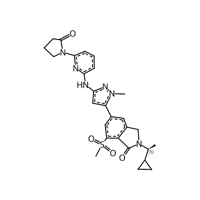 C[C@@H](C1CC1)N1Cc2cc(-c3cc(Nc4cccc(N5CCCC5=O)n4)nn3C)cc(S(C)(=O)=O)c2C1=O